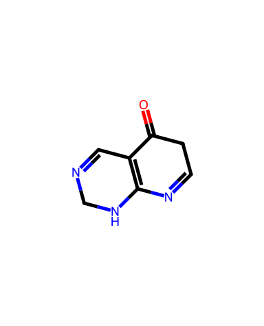 O=C1CC=NC2=C1C=NCN2